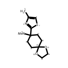 CNC1(c2nc(C)cs2)CCC2(CC1)OCCO2